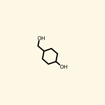 OCC1CC[C](O)CC1